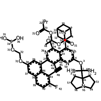 BC(B)(Oc1nc(N2CC3CC(C2)N3C(=O)OC(C)OC(=O)C(C)C)c2c(Cl)nc(-c3cc(OCOP(O)O)cc4ccc(F)c(C#C)c34)c(F)c2n1)C12CCCN1CCC2